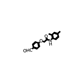 Cc1ccc(NC(=O)COc2ccc(C=O)cc2)c(C)c1